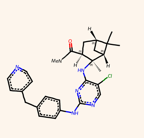 CNC(=O)[C@H]1C[C@H]2C[C@H](C2(C)C)[C@@]1(C)Nc1nc(Nc2ccc(Cc3ccncc3)cc2)ncc1Cl